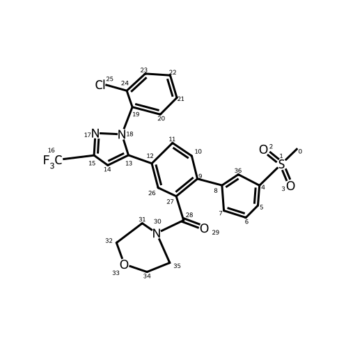 CS(=O)(=O)c1cccc(-c2ccc(-c3cc(C(F)(F)F)nn3-c3ccccc3Cl)cc2C(=O)N2CCOCC2)c1